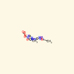 CCCCCCOC(=O)/N=C(\N)c1ccc(NCc2nc3cc(C(=O)N(CCC(=O)OCC4COCO4)c4ccccn4)ccc3n2C)cc1